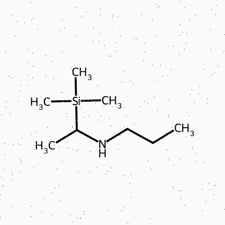 CCCNC(C)[Si](C)(C)C